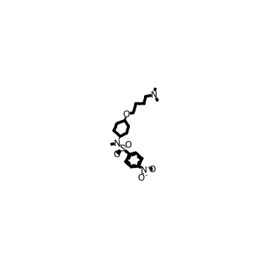 CN(C)CCCCO[C@H]1CC[C@H](N(C)S(=O)(=O)c2ccc([N+](=O)[O-])cc2)CC1